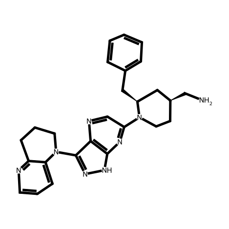 NC[C@H]1CCN(c2cnc3c(N4CCCc5ncccc54)n[nH]c3n2)[C@@H](Cc2ccccc2)C1